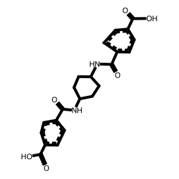 O=C(O)c1ccc(C(=O)NC2CCC(NC(=O)c3ccc(C(=O)O)cc3)CC2)cc1